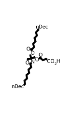 CCCCCCCCCCCCCCCCCC(=O)OCC1(COC(=O)CCC(=O)O)COC(CCCCCCCCCCCCCCCCC)=N1